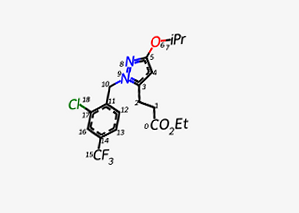 CCOC(=O)CCc1cc(OC(C)C)nn1Cc1ccc(C(F)(F)F)cc1Cl